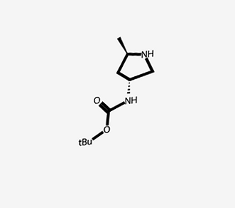 C[C@@H]1C[C@@H](NC(=O)OC(C)(C)C)CN1